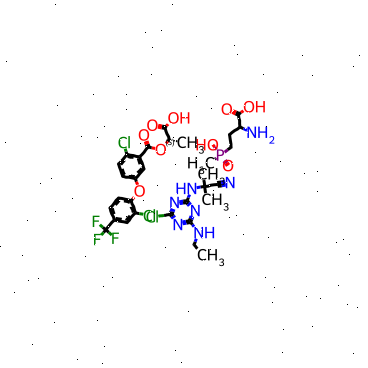 CCNc1nc(Cl)nc(NC(C)(C)C#N)n1.CP(=O)(O)CCC(N)C(=O)O.C[C@H](OC(=O)c1cc(Oc2ccc(C(F)(F)F)cc2Cl)ccc1Cl)C(=O)O